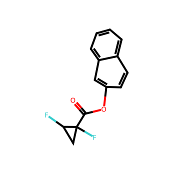 O=C(Oc1ccc2ccccc2c1)C1(F)CC1F